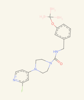 BC(B)(B)Oc1cccc(CNC(=O)N2CCN(c3ccnc(F)c3)CC2)c1